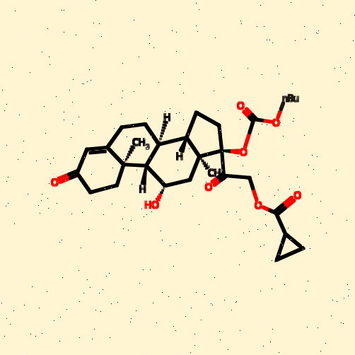 CCCCOC(=O)O[C@]1(C(=O)COC(=O)C2CC2)CC[C@H]2[C@@H]3CCC4=CC(=O)CC[C@]4(C)[C@H]3[C@@H](O)C[C@@]21C